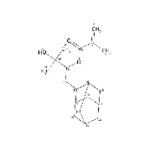 C=C(C)C(=O)OC(CC1C2CC3CC(C2)CC1C3)C(C)(O)C(F)(F)F